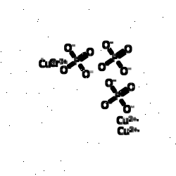 O=P([O-])([O-])[O-].O=P([O-])([O-])[O-].O=P([O-])([O-])[O-].[Cr+3].[Cu+2].[Cu+2].[Cu+2]